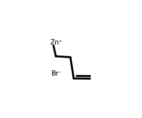 C=CC[CH2][Zn+].[Br-]